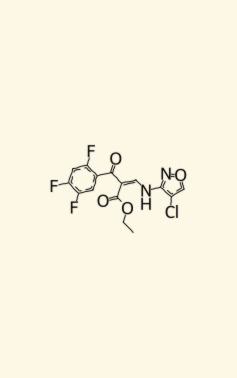 CCOC(=O)C(=CNc1nocc1Cl)C(=O)c1cc(F)c(F)cc1F